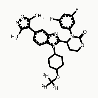 [2H]C([2H])([2H])OC1CCC(n2c(C3CCOC(=O)N3c3cc(F)cc(F)c3)nc3cc(-c4c(C)noc4C)ccc32)CC1